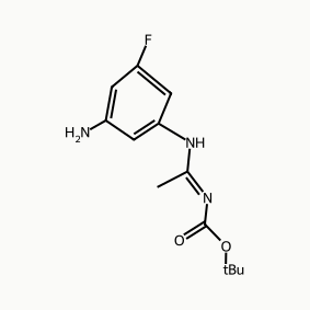 C/C(=N\C(=O)OC(C)(C)C)Nc1cc(N)cc(F)c1